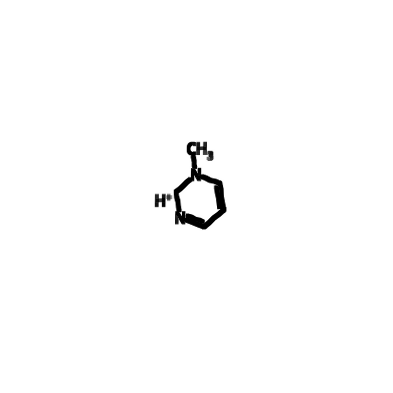 CN1C=CC=NC1.[H+]